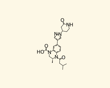 CC(C)CC(=O)N1c2ccc(-c3cnn(C4CCNC(=O)C4)c3)cc2N(C(=O)O)C[C@@H]1C